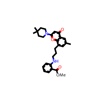 COC(=O)c1ccccc1NCCCc1cc(C)cc2c(=O)cc(N3CCC(C)(C)CC3)oc12